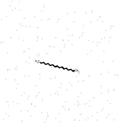 C=CCCCC=CCC=CCCCCCCC